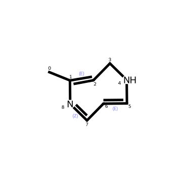 CC1=C\CN/C=C/C=N\1